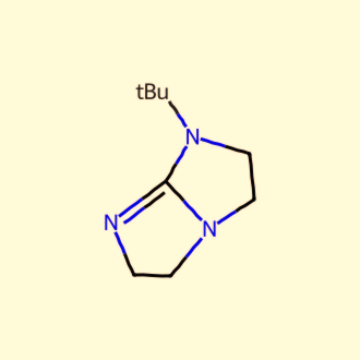 CC(C)(C)N1CCN2CCN=C21